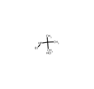 CCPC(C)(C)C.Cl